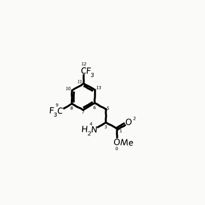 COC(=O)C(N)Cc1cc(C(F)(F)F)cc(C(F)(F)F)c1